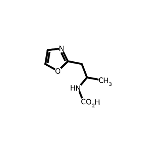 CC(Cc1ncco1)NC(=O)O